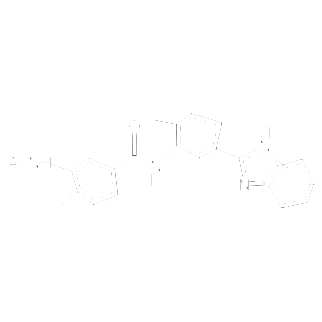 CC(=O)Nc1cc(C(=O)Nc2cc(-c3nc4ccccc4[nH]3)ccc2C)ccc1C